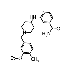 CCOc1cc(CN2CCC(Nc3cc(C(N)=O)ccn3)CC2)ccc1C